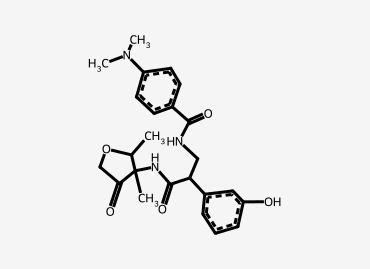 CC1OCC(=O)C1(C)NC(=O)C(CNC(=O)c1ccc(N(C)C)cc1)c1cccc(O)c1